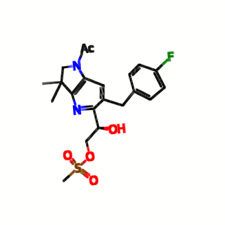 CC(=O)N1CC(C)(C)c2nc([C@@H](O)COS(C)(=O)=O)c(Cc3ccc(F)cc3)cc21